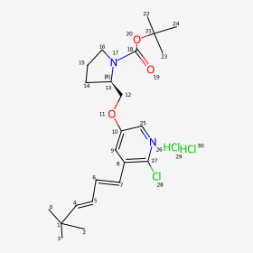 CC(C)(C)C=CC=Cc1cc(OC[C@H]2CCCN2C(=O)OC(C)(C)C)cnc1Cl.Cl.Cl